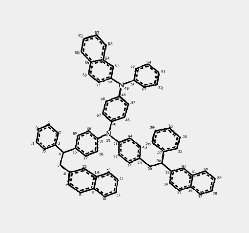 c1ccc(C(Cc2ccc3ccccc3c2)c2ccc(N(c3ccc(CC(c4ccccc4)c4ccc5ccccc5c4)cc3)c3ccc(N(c4ccccc4)c4ccc5ccccc5c4)cc3)cc2)cc1